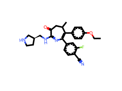 CCOc1ccc(C2=C(c3ccc(C#N)c(F)c3)N=C(NC[C@H]3CCNC3)C(=O)CC2C)cc1